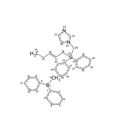 CB(c1ccccc1)c1ccccc1.CCC=CC[Si](Cn1ccnc1)(c1ccccc1)c1ccccc1